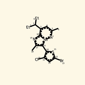 CCC(CC)c1cc(C)nn2c(-c3sc(Br)cc3Cl)c(C)nc12